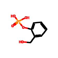 O=P(O)(O)Oc1ccccc1CO